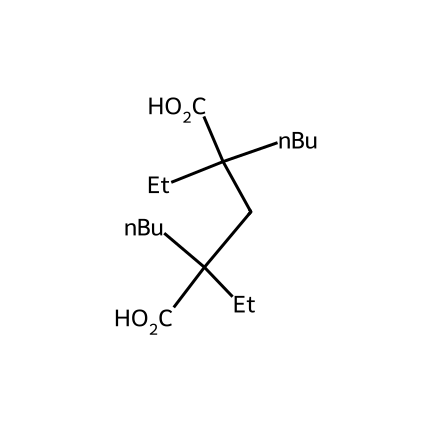 CCCCC(CC)(CC(CC)(CCCC)C(=O)O)C(=O)O